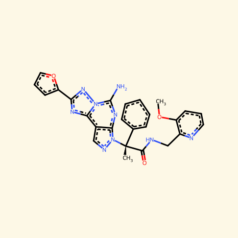 COc1cccnc1CNC(=O)[C@@](C)(c1ccccc1)n1ncc2c1nc(N)n1nc(-c3ccco3)nc21